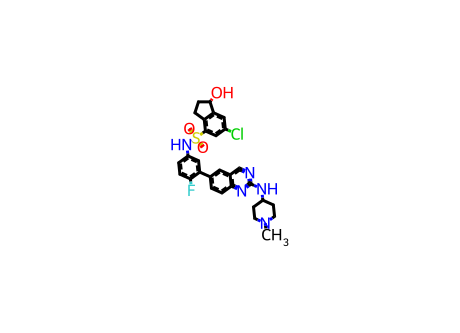 CN1CCC(Nc2ncc3cc(-c4cc(NS(=O)(=O)c5cc(Cl)cc6c5CCC6O)ccc4F)ccc3n2)CC1